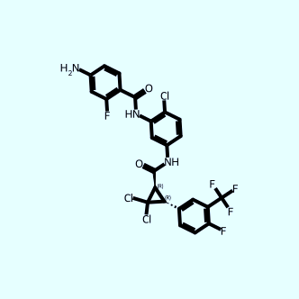 Nc1ccc(C(=O)Nc2cc(NC(=O)[C@H]3[C@H](c4ccc(F)c(C(F)(F)F)c4)C3(Cl)Cl)ccc2Cl)c(F)c1